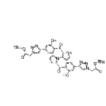 CC(C)(C)OC(=O)Cn1cc(-c2ccc(C(=O)c3[nH]ccc3-n3cccc3C(=O)c3ccc(-c4cn(CC(=O)OC(C)(C)C)nn4)cc3O)c(O)c2)nn1